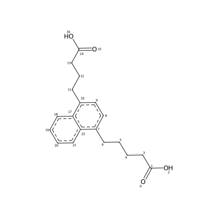 O=C(O)CCCCc1ccc(CCCC(=O)O)c2ccccc12